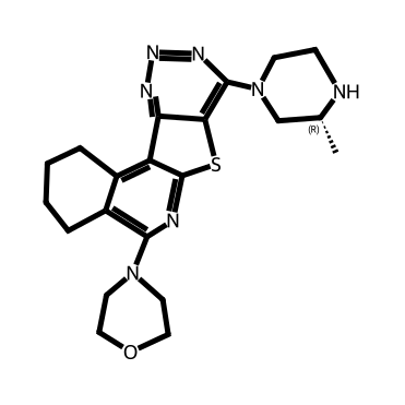 C[C@@H]1CN(c2nnnc3c2sc2nc(N4CCOCC4)c4c(c23)CCCC4)CCN1